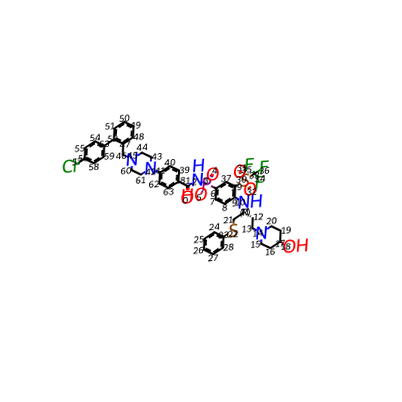 O=C(NP(=O)(O)c1ccc(N[C@H](CCN2CCC(O)CC2)CSc2ccccc2)c(S(=O)(=O)C(F)(F)F)c1)c1ccc(N2CCN(Cc3ccccc3-c3ccc(Cl)cc3)CC2)cc1